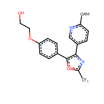 COc1ccc(-c2nc(C(F)(F)F)oc2-c2ccc(OCCO)cc2)cn1